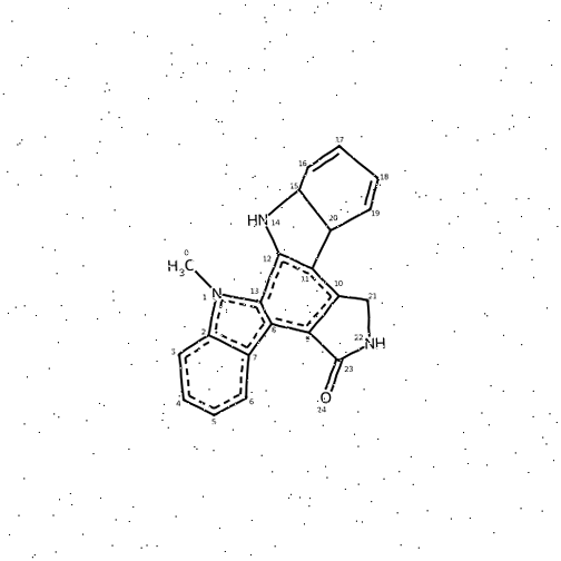 Cn1c2ccccc2c2c3c(c4c(c21)NC1C=CC=CC41)CNC3=O